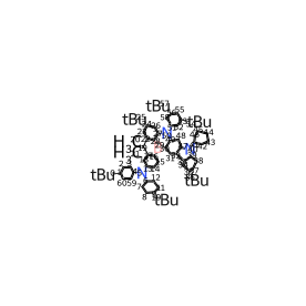 CC(C)(C)c1ccc(N(c2ccc(C(C)(C)C)cc2)c2ccc3c(c2)C(C)(C)c2cc(C(C)(C)C)cc4c2B3c2cc3c5cc(C(C)(C)C)ccc5n(-c5ccccc5)c3cc2N4c2cc(C(C)(C)C)cc(C(C)(C)C)c2)cc1